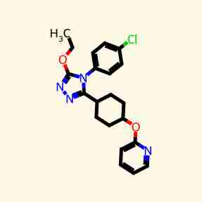 CCOc1nnc(C2CCC(Oc3ccccn3)CC2)n1-c1ccc(Cl)cc1